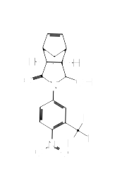 O=C1[C@H]2C3C=CC(C3)[C@H]2C(O)N1c1ccc([N+](=O)[O-])c(C(F)(F)F)c1